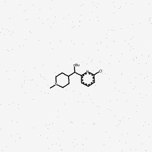 CCCCC(c1cccc(Cl)n1)C1CCN(C)CC1